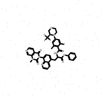 Cc1cc(N2CCOCC2C(F)(F)F)cc(F)c1C(=O)NC(Cc1ccc(-n2c(=O)c3ccncc3n(C)c2=O)c2ncccc12)C(=O)Oc1ccccc1